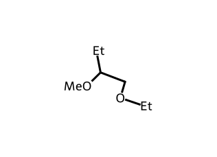 CCOCC(CC)OC